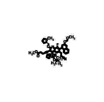 COCOc1cc(-c2c(CCC#N)cc3c(NC4C5CC4N(C(=O)OC(C)(C)C)C5)c(C#CCCC(=O)OC)c(OC[C@@H]4CCCN4C)nc3c2F)c2ccccc2c1